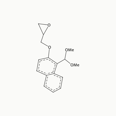 COC(OC)c1c(OCC2CO2)ccc2ccccc12